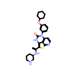 C=C(N[C@@H]1CCCNC1)c1sc2nccc3c2c1NC(=O)N3c1cccc(OC2CCCCC2)c1